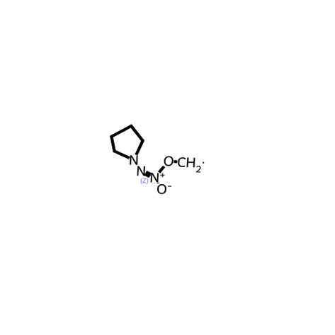 [CH2]O/[N+]([O-])=N\N1CCCC1